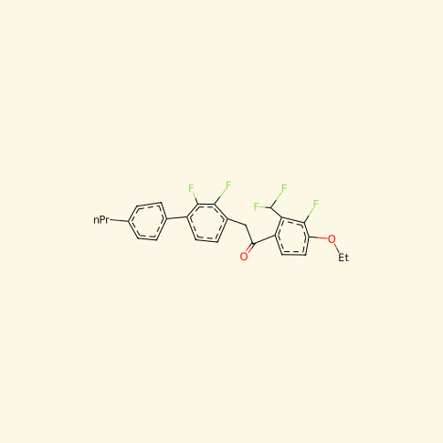 CCCc1ccc(-c2ccc(CC(=O)c3ccc(OCC)c(F)c3C(F)F)c(F)c2F)cc1